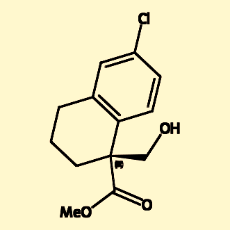 COC(=O)[C@]1(CO)CCCc2cc(Cl)ccc21